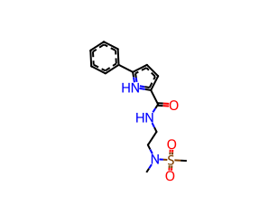 CN(CCNC(=O)c1ccc(-c2ccccc2)[nH]1)S(C)(=O)=O